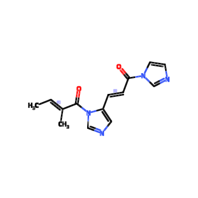 C/C=C(\C)C(=O)n1cncc1/C=C/C(=O)n1ccnc1